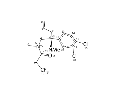 C=CC[C@](C[N+](C)C(=O)CC(F)(F)F)(NC)c1ccc(Cl)c(Cl)c1